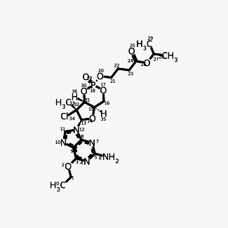 CCOc1nc(N)nc2c1ncn2[C@@H]1O[C@@H]2CO[P@@](=O)(OCCCC(=O)OC(C)C)O[C@H]2[C@@]1(C)Cl